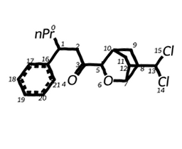 [CH2]CCC(CC(=O)[C]1OC2CCC1CC2C(Cl)Cl)c1ccccc1